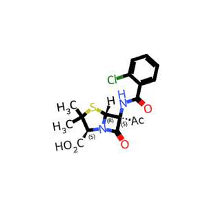 CC(=O)[C@]1(NC(=O)c2ccccc2Cl)C(=O)N2[C@@H](C(=O)O)C(C)(C)S[C@@H]21